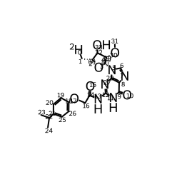 [2H]C[C@H]1O[C@@H](n2cnc3c(=O)[nH]c(NC(=O)COc4ccc(C(C)C)cc4)nc32)[C@@H](OC)C1O